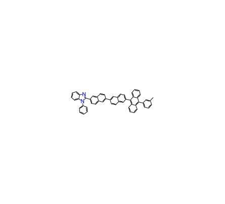 Cc1cccc(-c2c3ccccc3c(-c3ccc4cc(-c5ccc6cc(-c7nc8ccccc8n7-c7ccccc7)ccc6c5)ccc4c3)c3ccccc23)c1